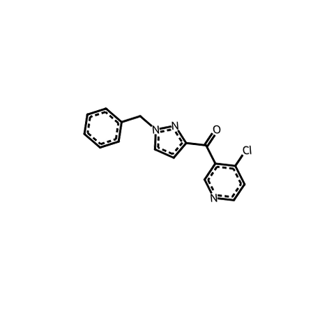 O=C(c1ccn(Cc2ccccc2)n1)c1cnccc1Cl